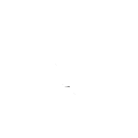 CN(C[C@H](CCN1CCC(c2ccccc2)CC1)C1CCCCC1)S(=O)(=O)c1ccccc1